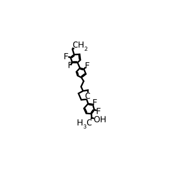 C=Cc1ccc(-c2ccc(CCC3CCC(c4ccc(C(C)O)c(F)c4F)CC3)cc2F)c(F)c1F